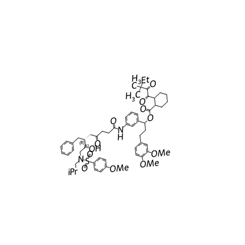 CCC(C)(C)C(=O)C(=O)C1CCCCC1C(=O)OC(CCc1ccc(OC)c(OC)c1)c1cccc(NC(=O)CCC(=O)C[C@@H](Cc2ccccc2)[C@H](O)CN(CC(C)C)S(=O)(=O)c2ccc(OC)cc2)c1